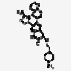 Cc1ncc(-c2nc3[nH]c(=O)c(OCCN4CCN(C)CC4)cc3nc2-c2ccc3ncccc3c2)s1